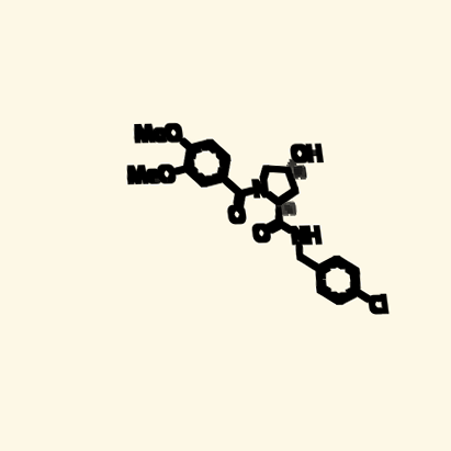 COc1ccc(C(=O)N2C[C@H](O)C[C@H]2C(=O)NCc2ccc(Cl)cc2)cc1OC